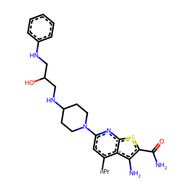 CCCc1cc(N2CCC(NCC(O)CNc3ccccc3)CC2)nc2sc(C(N)=O)c(N)c12